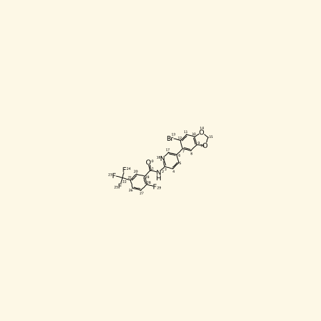 O=C(Nc1ccc(-c2cc3c(cc2Br)OCO3)cn1)c1cc(C(F)(F)F)ccc1F